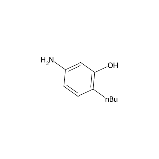 CCCCc1ccc(N)cc1O